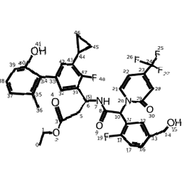 CCOC(=O)C[C@H](NC(=O)C(c1cc(CO)ccc1F)n1ccc(C(F)(F)F)cc1=O)c1cc(-c2c(C)cccc2O)cc(C2CC2)c1F